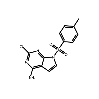 Cc1ccc(S(=O)(=O)n2ccc3c(N)nc(Cl)nc32)cc1